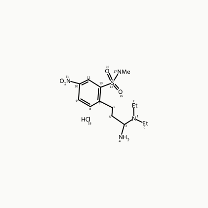 CCN(CC)C(N)CCc1ccc([N+](=O)[O-])cc1S(=O)(=O)NC.Cl